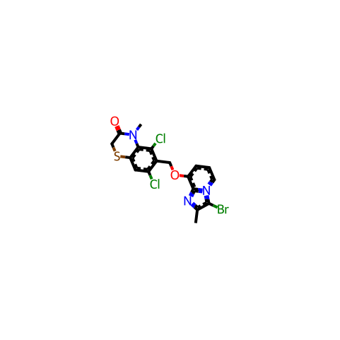 Cc1nc2c(OCc3c(Cl)cc4c(c3Cl)N(C)C(=O)CS4)cccn2c1Br